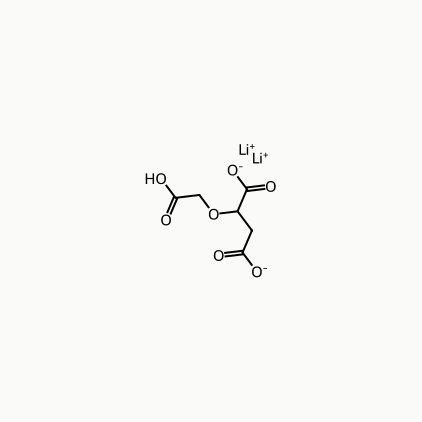 O=C([O-])CC(OCC(=O)O)C(=O)[O-].[Li+].[Li+]